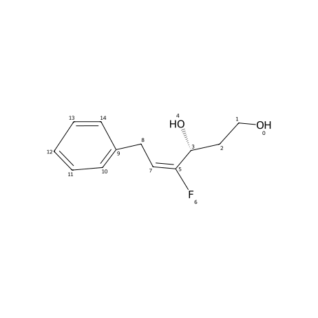 OCC[C@@H](O)/C(F)=C\Cc1ccccc1